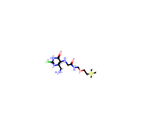 CS(C)(C)CCOCNC(=O)CNc1c(CN)nc(Cl)[nH]c1=O